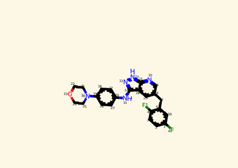 Fc1ccc(F)c(Cc2cnc3[nH]nc(Nc4ccc(N5CCOCC5)cc4)c3c2)c1